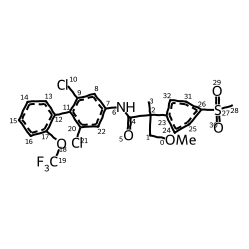 COCC(C)(C(=O)Nc1cc(Cl)c(-c2ccccc2OC(F)(F)F)c(Cl)c1)c1ccc(S(C)(=O)=O)cc1